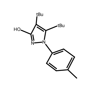 Cc1ccc(-n2nc(O)c(C(C)(C)C)c2C(C)(C)C)cc1